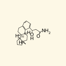 C[C@@]12CCC[C@H]1[C@@H]1CCc3cccc(C(O)CC(N)=O)c3[C@H]1CC2